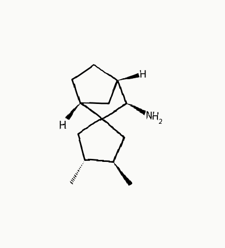 C[C@@H]1CC2(C[C@H]1C)[C@@H]1CC[C@@H](C1)[C@H]2N